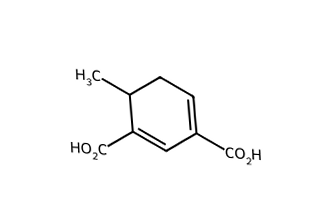 CC1CC=C(C(=O)O)C=C1C(=O)O